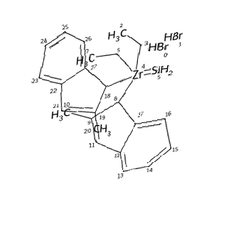 Br.Br.C[CH2][Zr](=[SiH2])([CH2]C)([CH]1C(C)=Cc2ccccc21)[CH]1C(C)=Cc2ccccc21